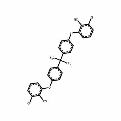 N#Cc1c(Cl)cccc1Oc1ccc(C(c2ccc(Oc3cccc(Cl)c3C#N)cc2)(C(F)(F)F)C(F)(F)F)cc1